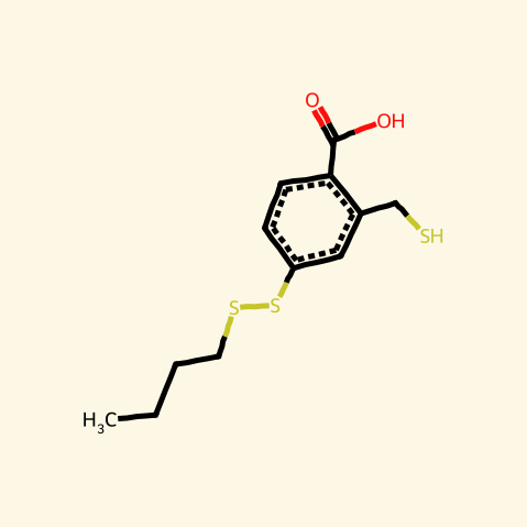 CCCCSSc1ccc(C(=O)O)c(CS)c1